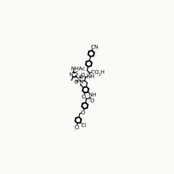 CC(=O)Nc1nc(C)c(S(=O)(=O)N2Cc3cc4c(cc3CC2C(=O)N[C@@H](Cc2ccc(-c3ccc(C#N)cc3)cc2)C(=O)O)NC(=O)C(c2ccc(OCc3ccc(Cl)c(Cl)c3)cc2)O4)s1